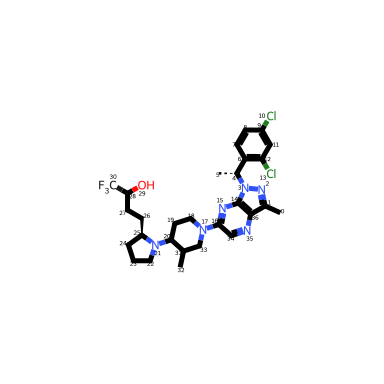 Cc1nn([C@H](C)c2ccc(Cl)cc2Cl)c2nc(N3CCC(N4CCC[C@H]4CCC(O)C(F)(F)F)C(C)C3)cnc12